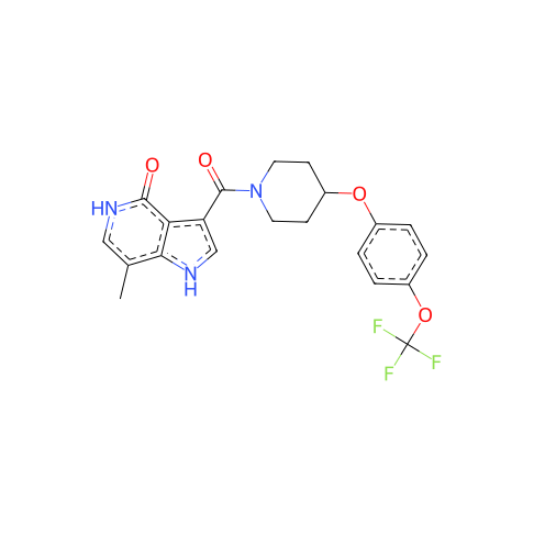 Cc1c[nH]c(=O)c2c(C(=O)N3CCC(Oc4ccc(OC(F)(F)F)cc4)CC3)c[nH]c12